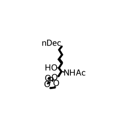 CCCCCCCCCCCCC/C=C/[C@@H](O)[C@H](COP1(=O)OCCO1)NC(C)=O